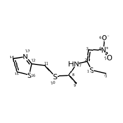 CSC(=C[N+](=O)[O-])NC(C)SCc1nccs1